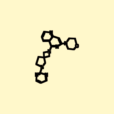 c1cnc(N2CCC3(C2)CN(c2nc(N4CCOCC4)cc4ncccc24)C3)nc1